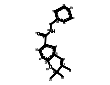 CC1=Cc2cc(C(=O)NCc3ccccc3)ccc2OC1(C)C